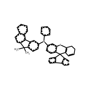 CC1(C)c2ccc(N(c3ccccc3)c3ccc4c(c3)SC3=C(C=CCC3)C43c4ccccc4-c4ccccc43)cc2-c2c1ccc1ccccc21